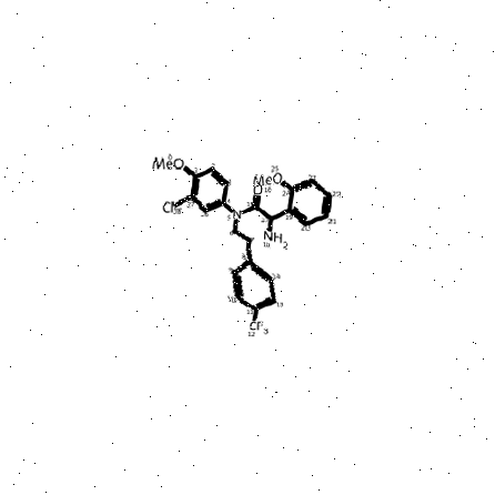 COc1ccc(N(CCc2ccc(C(F)(F)F)cc2)C(=O)C(N)c2ccccc2OC)cc1Cl